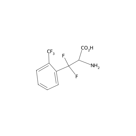 NC(C(=O)O)C(F)(F)c1ccccc1C(F)(F)F